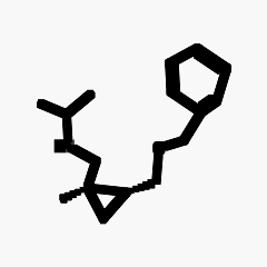 CC(C)NC[C@]1(C)C[C@H]1COCc1ccccc1